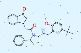 COc1ccc(C(C)(C)C)cc1CNC1CCC(c2ccccc2)N1C(=O)CC1CC(=O)c2ccccc21